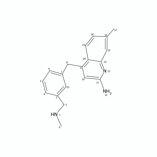 CNCc1cccc(Cc2cc(N)nc3cc(C)ccc23)c1